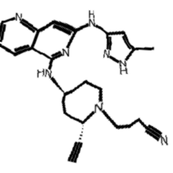 C#C[C@@H]1C[C@@H](Nc2nc(Nc3cc(C)[nH]n3)cc3ncccc23)CCN1CCC#N